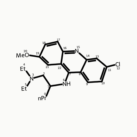 CCCC(CN(CC)CC)Nc1c2ccc(Cl)cc2nc2ccc(OC)cc12